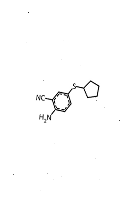 N#Cc1cc(SC2CCCC2)ccc1N